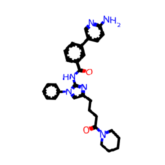 Nc1ccc(-c2cccc(C(=O)Nc3nc(CCCC(=O)N4CCCCC4)cn3-c3ccccc3)c2)cn1